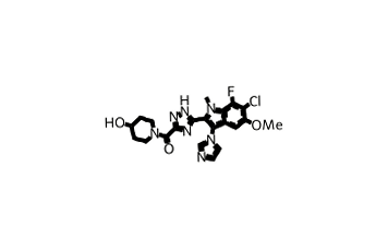 COc1cc2c(-n3ccnc3)c(-c3nc(C(=O)N4CCC(O)CC4)n[nH]3)n(C)c2c(F)c1Cl